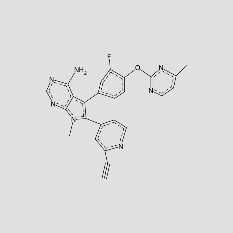 C#Cc1cc(-c2c(-c3ccc(Oc4nccc(C)n4)c(F)c3)c3c(N)ncnc3n2C)ccn1